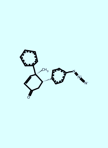 C[C@@]1(c2ccccc2)C=CC(=O)C[C@H]1c1ccc(N=[N+]=[N-])cc1